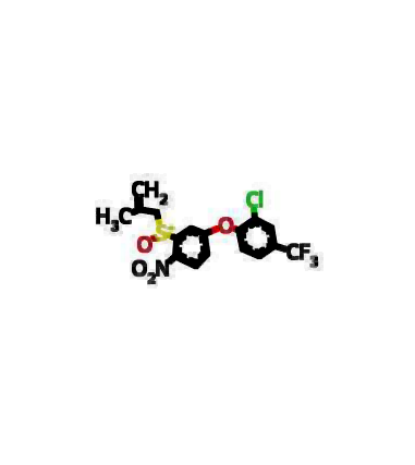 C=C(C)C[S+]([O-])c1cc(Oc2ccc(C(F)(F)F)cc2Cl)ccc1[N+](=O)[O-]